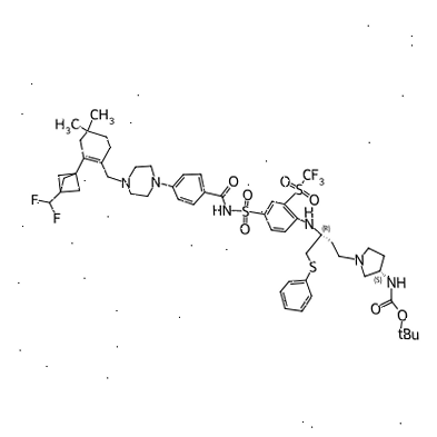 CC1(C)CCC(CN2CCN(c3ccc(C(=O)NS(=O)(=O)c4ccc(N[C@H](CCN5CC[C@H](NC(=O)OC(C)(C)C)C5)CSc5ccccc5)c(S(=O)(=O)C(F)(F)F)c4)cc3)CC2)=C(C23CC(C(F)F)(C2)C3)C1